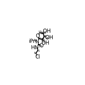 CC(C)N(C(=O)NCCCl)[C@@H]1OC[C@@H](O)[C@H](O)[C@H]1O